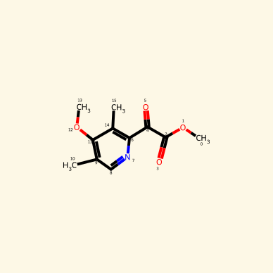 COC(=O)C(=O)c1ncc(C)c(OC)c1C